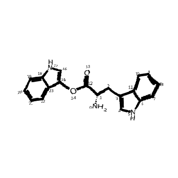 N[C@@H](Cc1c[nH]c2ccccc12)C(=O)Oc1c[nH]c2ccccc12